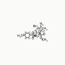 C=C1C2(C)COC3(OC)C[C@@]1(Br)C=C(OS(=O)(=O)c1ccc(C)cc1)C32C